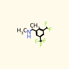 CN[C@H](C)c1cc(C(F)F)cc(C(F)(F)F)c1